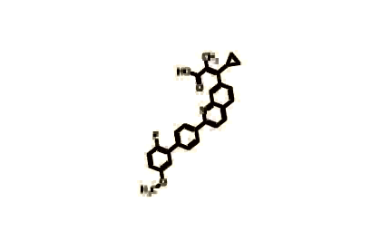 COc1ccc(F)c(-c2ccc(-c3ccc4ccc(C(=C(C)C(=O)O)C5CC5)cc4n3)cc2)c1